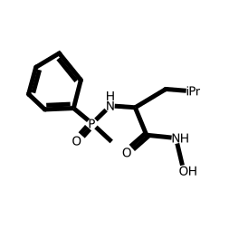 CC(C)CC(NP(C)(=O)c1ccccc1)C(=O)NO